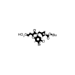 CC(C)(C)OC(=O)N1CC(CN2C(=O)C(CCC(=O)O)Oc3cc(Br)c(Cl)cc32)C1